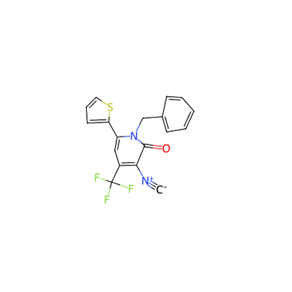 [C-]#[N+]c1c(C(F)(F)F)cc(-c2cccs2)n(Cc2ccccc2)c1=O